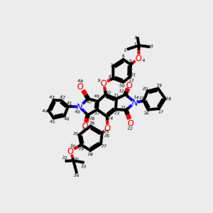 CC(C)(C)Oc1ccc(Oc2c3c(=O)n(-c4ccccc4)c(=O)c3c(Oc3ccc(OC(C)(C)C)cc3)c3c(=O)n(-c4ccccc4)c(=O)c23)cc1